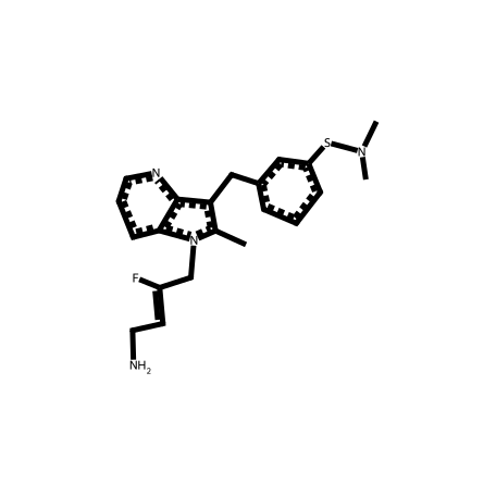 Cc1c(Cc2cccc(SN(C)C)c2)c2ncccc2n1C/C(F)=C/CN